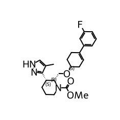 COC(=O)N1CCC[C@H](c2n[nH]cc2C)[C@@H]1CO[C@@H]1CC=C(c2cccc(F)c2)CC1